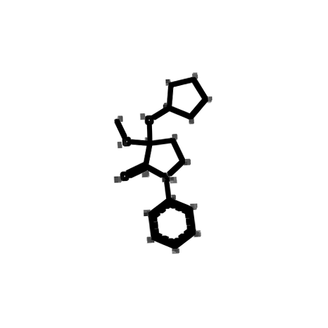 COC1(OC2CCCC2)CCN(c2ccccc2)C1=O